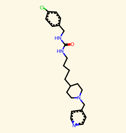 O=C(NCCCCC1CCN(Cc2ccncc2)CC1)NCc1ccc(Cl)cc1